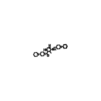 CC1=C(C(=O)N2CCC(N3CCCCC3)CC2)NCNC1NCC1CCN(c2ccccc2)CC1